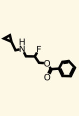 O=C(OCC(F)CNCC1CC1)c1ccccc1